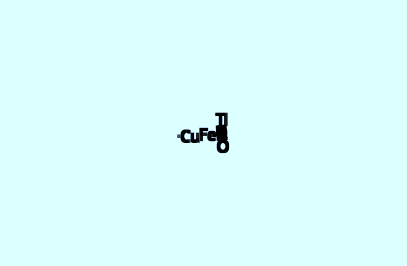 [Cu].[Fe].[O]=[Ti]